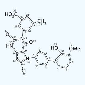 COc1cccc(-c2ccc(-n3c(Cl)cc4[nH]c(=O)n(-c5cc(C)cc(C(=O)O)c5)c(=O)c43)cc2)c1O